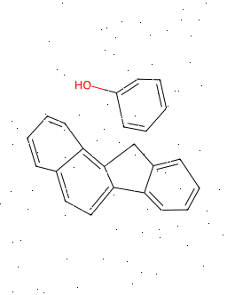 Oc1ccccc1.c1ccc2c(c1)Cc1c-2ccc2ccccc12